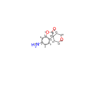 Nc1ccc2c(c1)OC(=O)C21CCOCC1